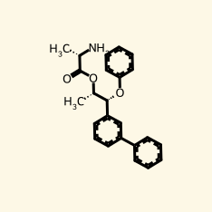 C[C@H](N)C(=O)O[C@@H](C)[C@H](Oc1ccccc1)c1cccc(-c2ccccc2)c1